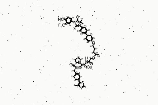 Cc1ncsc1-c1ccc(CNC(=O)[C@@H]2CCCN2C(=O)[C@@H](NC(=O)CO[C@H](C)CCCOc2ccc(-c3ccc(N4C(=S)N(c5ccc(C#N)c(C(F)(F)F)c5)C(=O)C4(C)C)cc3)cc2)C(C)(C)C)cc1